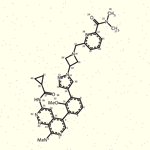 CNc1ncc(-c2cccc(-c3cnn(C4CN(Cc5cccc(C(=O)N(C)C)n5)C4)c3)c2OC)c2cc(NC(=O)C3CC3)nnc12